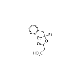 CCC(CC)(Cc1ccccc1)OC(=O)CC(=O)O